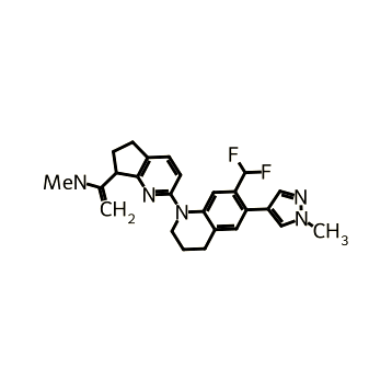 C=C(NC)C1CCc2ccc(N3CCCc4cc(-c5cnn(C)c5)c(C(F)F)cc43)nc21